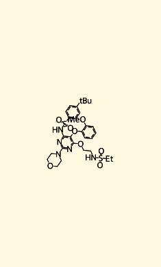 CCS(=O)(=O)NCCOc1nc(N2CCOCC2)nc(NS(=O)(=O)c2ccc(C(C)(C)C)cc2)c1Oc1ccccc1OC